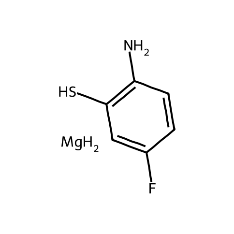 Nc1ccc(F)cc1S.[MgH2]